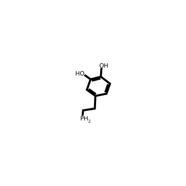 Oc1ccc(CCP)cc1O